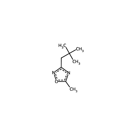 Cc1nc(CC(C)(C)C)no1